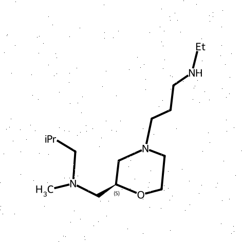 CCNCCCN1CCO[C@@H](CN(C)CC(C)C)C1